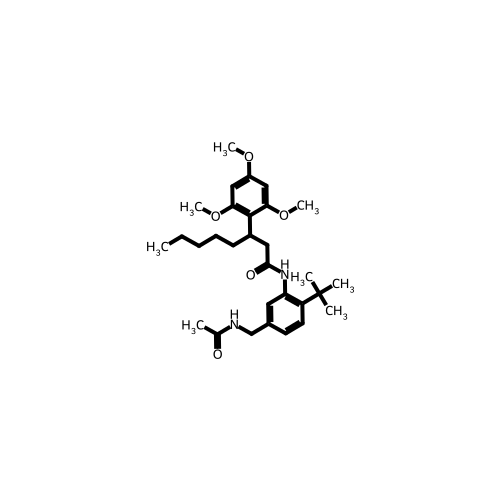 CCCCCC(CC(=O)Nc1cc(CNC(C)=O)ccc1C(C)(C)C)c1c(OC)cc(OC)cc1OC